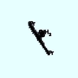 CC(C)CCCCCCCCCCCCCCCN(CCCCCCCCCCCCCCCC(C)C)CCCNC(=O)C(N)=O